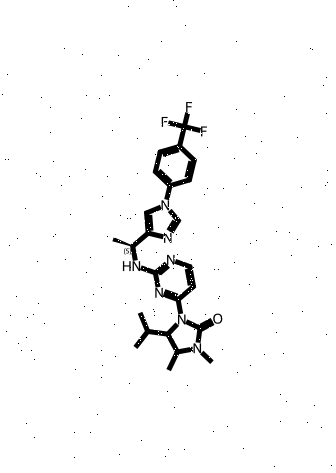 CC(C)C1C(C)N(C)C(=O)N1c1ccnc(N[C@@H](C)c2cn(-c3ccc(C(F)(F)F)cc3)cn2)n1